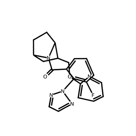 O=C(c1cccc(F)c1-n1nccn1)N1C2CCC1C(COc1ccccn1)C2